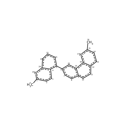 Cc1ccc2c(-c3ccc4ccc5ccc(C)nc5c4c3)cccc2n1